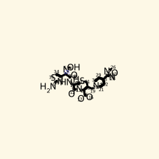 Nc1nc(/C(=N/O)C(=O)N[C@@H]2C(=O)N3C(C(=O)[O-])=C(C[n+]4ccc(-c5ncon5)cc4)CS[C@H]23)cs1